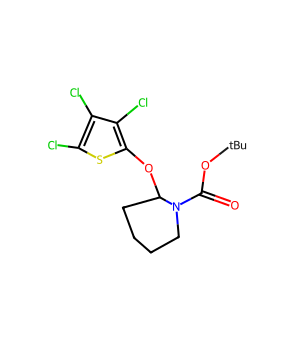 CC(C)(C)OC(=O)N1CCCCC1Oc1sc(Cl)c(Cl)c1Cl